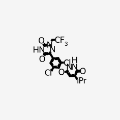 CC(C)c1cc(Oc2c(Cl)cc(-c3nn(CC(F)(F)F)c(=O)[nH]c3=O)cc2Cl)n[nH]c1=O